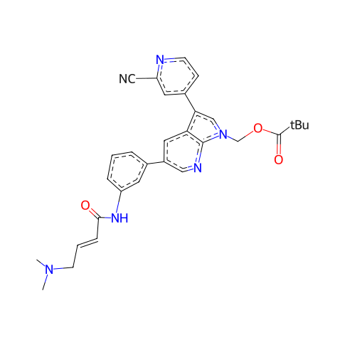 CN(C)CC=CC(=O)Nc1cccc(-c2cnc3c(c2)c(-c2ccnc(C#N)c2)cn3COC(=O)C(C)(C)C)c1